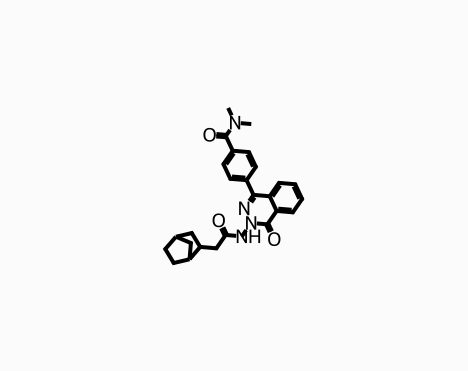 CN(C)C(=O)c1ccc(-c2nn(NC(=O)CC3CC4CCC3C4)c(=O)c3ccccc23)cc1